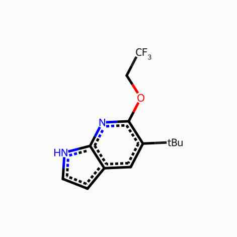 CC(C)(C)c1cc2cc[nH]c2nc1OCC(F)(F)F